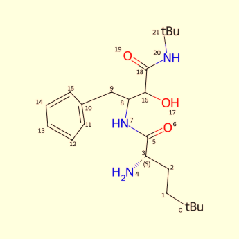 CC(C)(C)CC[C@H](N)C(=O)NC(Cc1ccccc1)C(O)C(=O)NC(C)(C)C